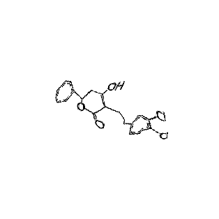 O=C1OC(c2ccccc2)CC(O)=C1CCc1ccc(Cl)c(Cl)c1